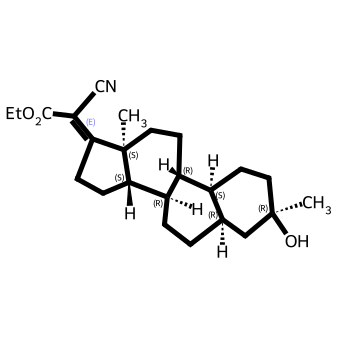 CCOC(=O)/C(C#N)=C1\CC[C@H]2[C@@H]3CC[C@@H]4C[C@](C)(O)CC[C@@H]4[C@H]3CC[C@]12C